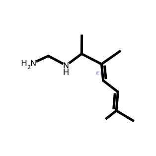 CC(C)=C/C=C(\C)C(C)NCN